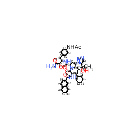 CC(=O)Nc1ccc(CC(NC(=O)[C@@H]2C[C@H](n3nncc3C(C)(C)O)CN2C(=O)[C@@H](CC2CCCCC2)NC(=O)c2ccc3ccccc3c2)C(O)C(N)=O)cc1